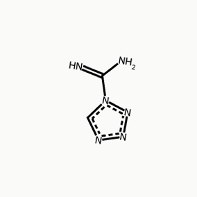 N=C(N)n1cnnn1